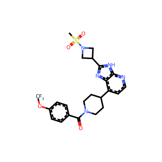 CS(=O)(=O)N1CC(c2nc3c(C4CCN(C(=O)c5ccc(OC(F)(F)F)cc5)CC4)ccnc3[nH]2)C1